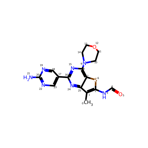 Cc1c(NC=O)sc2c(N3CCOCC3)nc(-c3cnc(N)nc3)nc12